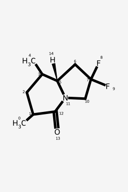 CC1CC(C)[C@@H]2CC(F)(F)CN2C1=O